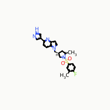 Cc1cc(S(=O)(=O)N2C[C@@H](Cn3ccc4nc(-c5cn[nH]c5)ccc43)C[C@H]2C)ccc1F